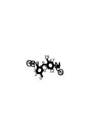 Cc1ccc(N=C=O)c(Cc2ccc(N=C=O)cc2C)c1